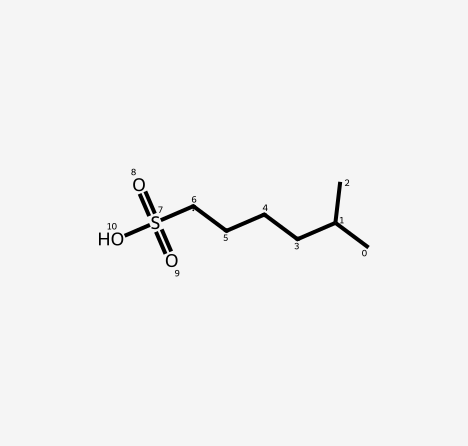 CC(C)CCC[CH]S(=O)(=O)O